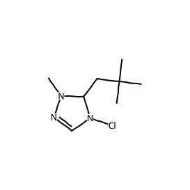 CN1N=CN(Cl)C1CC(C)(C)C